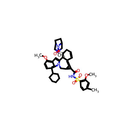 COc1cc(C)ccc1S(=O)(=O)NC(=O)C1=C2Cn3c(cc4c(OC)ccc(C5CCCCC5)c43)C3C(=C21)C=CC[C@H]3C(=O)N1C2CCC1CN(C)C2